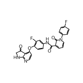 O=C1CNc2nccc(Oc3ccc(NC(=O)c4cccn(-c5ccc(F)cc5)c4=O)cc3F)c21